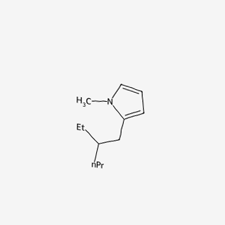 CCCC(CC)Cc1cccn1C